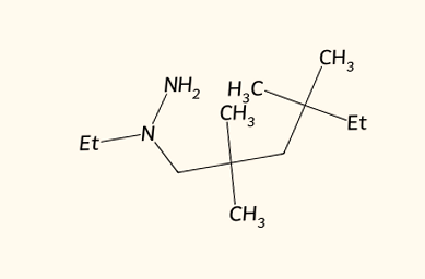 CCN(N)CC(C)(C)CC(C)(C)CC